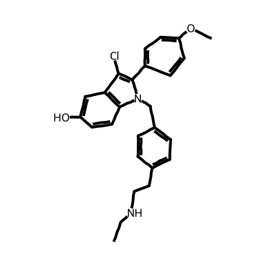 CCNCCc1ccc(Cn2c(-c3ccc(OC)cc3)c(Cl)c3cc(O)ccc32)cc1